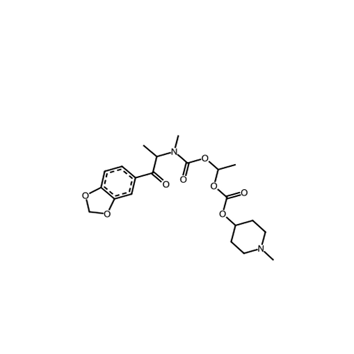 CC(OC(=O)OC1CCN(C)CC1)OC(=O)N(C)C(C)C(=O)c1ccc2c(c1)OCO2